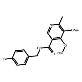 CCCCOc1c(C(=O)NCc2ccc(F)cc2)cnc(C)c1OC